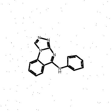 c1ccc(Nc2nc3nncn3c3ccccc23)cc1